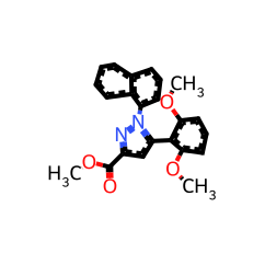 COC(=O)c1cc(-c2c(OC)cccc2OC)n(-c2cccc3ccccc23)n1